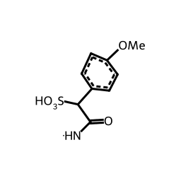 COc1ccc(C(C([NH])=O)S(=O)(=O)O)cc1